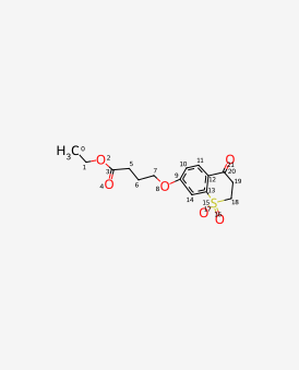 CCOC(=O)CCCOc1ccc2c(c1)S(=O)(=O)CCC2=O